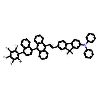 [2H]c1c([2H])c([2H])c(-c2ccc(-c3c4ccccc4c(/C=C/c4ccc5c(c4)C(C)(C)c4cc(N(c6ccccc6)c6ccccc6)ccc4-5)c4ccccc34)c3ccccc23)c([2H])c1[2H]